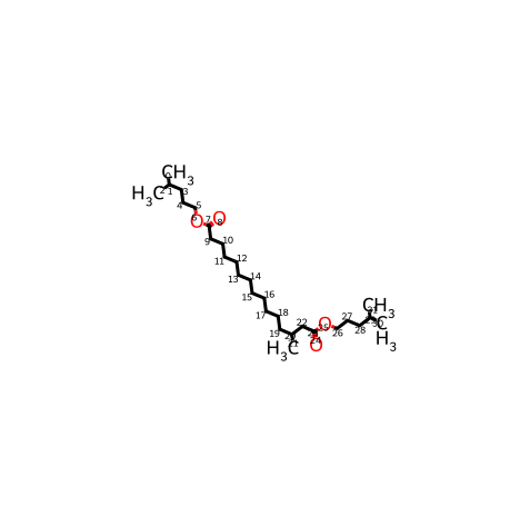 CC(C)CCCOC(=O)CCCCCCCCCCCC(C)CC(=O)OCCCC(C)C